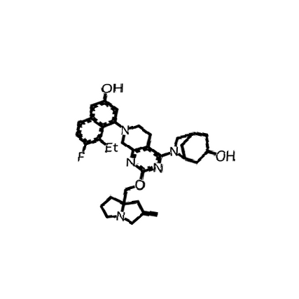 C=C1CN2CCCC2(COc2nc3c(c(N4CC5CC(O)CC4C5)n2)CCN(c2cc(O)cc4ccc(F)c(CC)c24)C3)C1